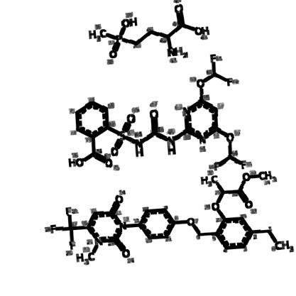 CCc1ccc(COc2ccc(-n3c(=O)cc(C(F)(F)F)n(C)c3=O)cc2)c(OC(C)C(=O)OC)c1.CP(=O)(O)CCC(N)C(=O)O.O=C(Nc1nc(OC(F)F)cc(OC(F)F)n1)NS(=O)(=O)c1ccccc1C(=O)O